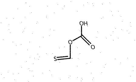 O=C(O)O[C]=S